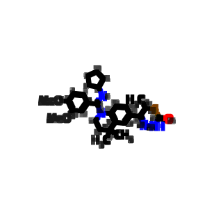 COc1ccc(C(=NC2CCCC2)N2CCC(C)(C)c3cc(C4=NNC(=O)SC4C)ccc32)cc1OC